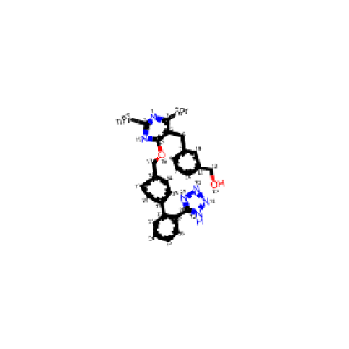 CCCc1nc(CCC)c(Cc2cccc(CO)c2)c(OCc2ccc(-c3ccccc3-c3nnn[nH]3)cc2)n1